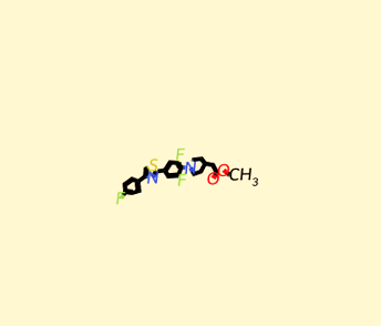 CCOC(=O)CC1CCN(c2c(F)cc(-c3nc(-c4ccc(F)cc4)cs3)cc2F)CC1